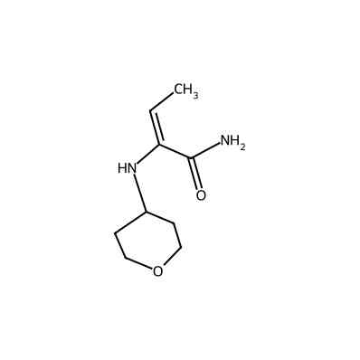 CC=C(NC1CCOCC1)C(N)=O